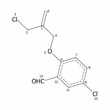 C=C(CCl)COc1ccc(Cl)cc1C=O